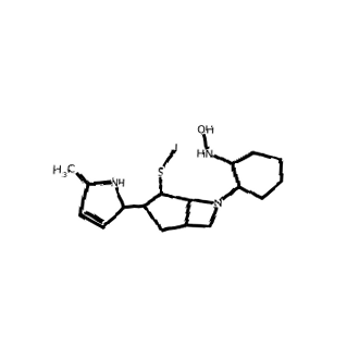 CC1C=CC(C2CC3CN(C4CCCCC4NO)C3C2SI)N1